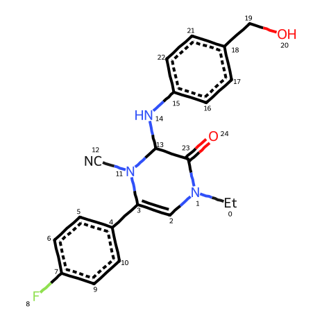 CCN1C=C(c2ccc(F)cc2)N(C#N)C(Nc2ccc(CO)cc2)C1=O